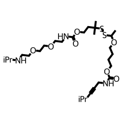 CC(C)C#CCNC(=O)OCCCCOC(C)SSC(C)(C)CCOC(=O)NCCOCCOCCNC(C)C